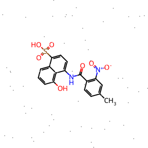 Cc1ccc(C(=O)Nc2ccc(S(=O)(=O)O)c3cccc(O)c23)c([N+](=O)[O-])c1